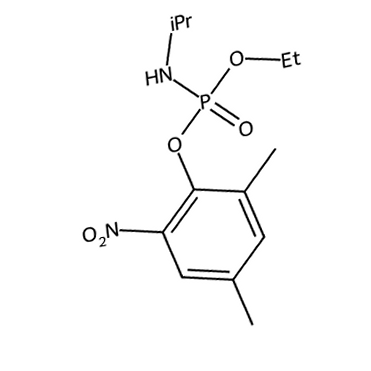 CCOP(=O)(NC(C)C)Oc1c(C)cc(C)cc1[N+](=O)[O-]